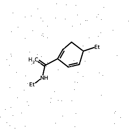 C=C(NCC)C1=CCC(CC)C=C1